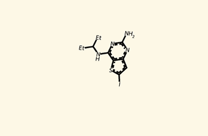 CCC(CC)Nc1nc(N)nc2cc(I)sc12